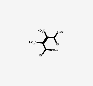 CCC(OC)/C(C(=O)O)=C(/C(=O)O)C(CC)OC